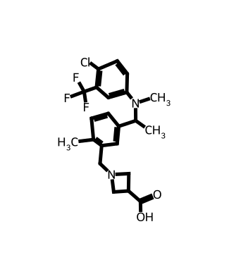 Cc1ccc(C(C)N(C)c2ccc(Cl)c(C(F)(F)F)c2)cc1CN1CC(C(=O)O)C1